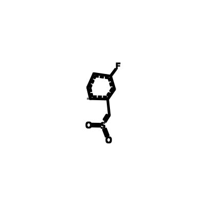 O=S(=O)=Cc1[c]ccc(F)c1